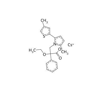 CCOC(Cn1c(C)ccc1-c1cc(C)cs1)(C(=O)[O-])c1ccccc1.[Cs+]